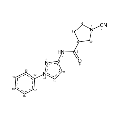 N#CN1CCC(C(=O)Nc2ccn(-c3ccccc3)n2)C1